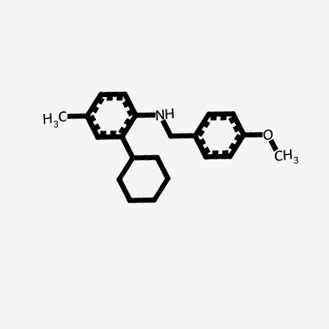 COc1ccc(CNc2ccc(C)cc2C2CCCCC2)cc1